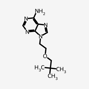 CC(C)(C)COCCn1cnc2c(N)ncnc21